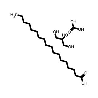 CCCCCCCCCCCCCCCCCC(=O)O.O=C(O)O.OCC(O)CO